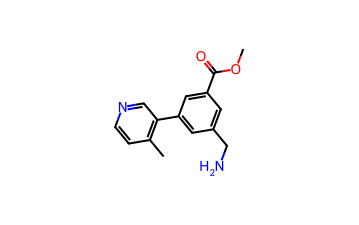 COC(=O)c1cc(CN)cc(-c2cnccc2C)c1